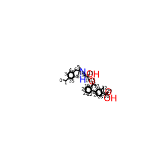 CCc1ccc(CC(C)(C)NC[C@@H](O)COC(C)c2ccccc2-c2ccc(C(=O)O)c(C)c2)cc1